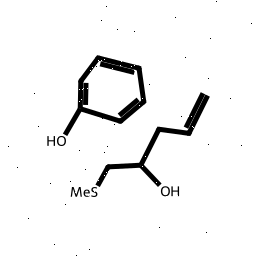 C=CCC(O)CSC.Oc1ccccc1